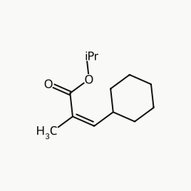 CC(=CC1CCCCC1)C(=O)OC(C)C